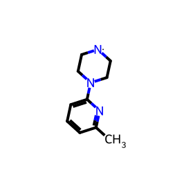 Cc1cccc(N2CC[N]CC2)n1